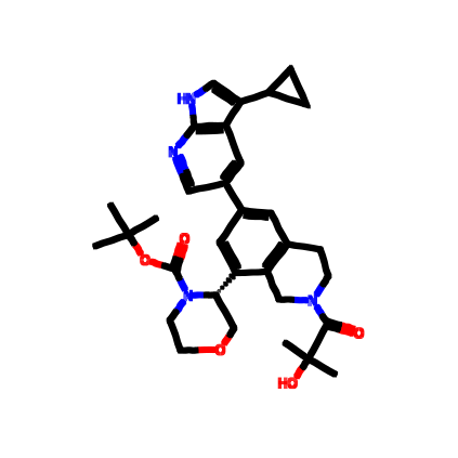 CC(C)(C)OC(=O)N1CCOC[C@H]1c1cc(-c2cnc3[nH]cc(C4CC4)c3c2)cc2c1CN(C(=O)C(C)(C)O)CC2